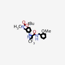 COc1ccccc1CNC(=O)c1cc(C(F)(F)F)nn1-c1cccc(CN(C)C(=O)OC(C)(C)C)c1